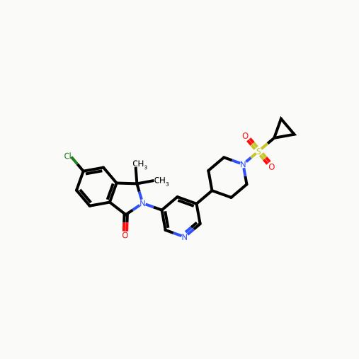 CC1(C)c2cc(Cl)ccc2C(=O)N1c1cncc(C2CCN(S(=O)(=O)C3CC3)CC2)c1